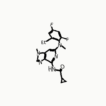 CCc1cc(F)cc(F)c1N(C)c1cc2c(ncn2C)c(NC(=O)C2CC2)n1